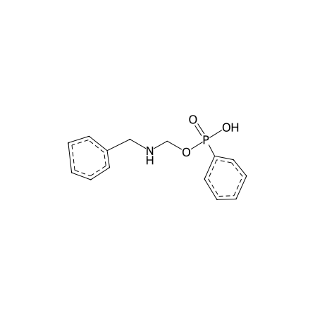 O=P(O)(OCNCc1ccccc1)c1ccccc1